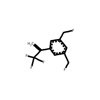 C=C(c1cc(CF)cc(CF)c1)C(F)(F)F